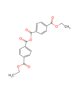 CCOC(=O)c1ccc(C(=O)OC(=O)c2ccc(C(=O)OCC)cc2)cc1